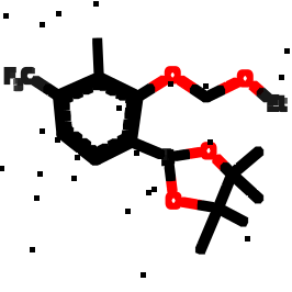 CCOCOc1c(B2OC(C)(C)C(C)(C)O2)ccc(C(F)(F)F)c1C